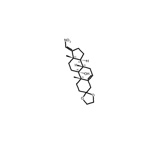 C[C@]12CCC3(CC1=CC[C@H]1[C@@H]4CCC(=C[N+](=O)[O-])[C@@]4(C)CC[C@@]12O)OCCO3